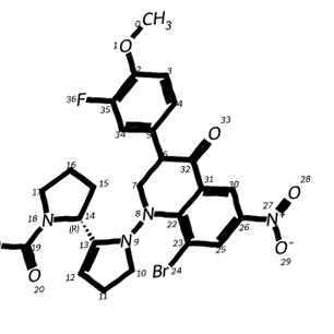 COc1ccc(C2CN(N3CCC=C3[C@H]3CCCN3C(=O)O)c3c(Br)cc([N+](=O)[O-])cc3C2=O)cc1F